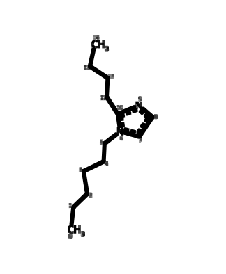 CCCCCCn1ccnc1CCCC